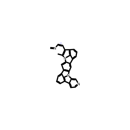 C=N/C=C\c1c(C)n2c3cc4c5cccc6c7ccncc7n(c4cc3c3cccc1c32)c65